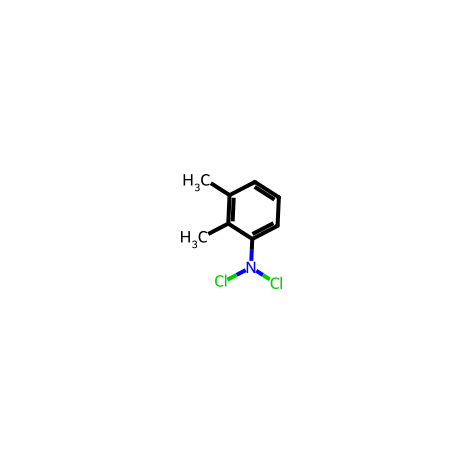 Cc1cccc(N(Cl)Cl)c1C